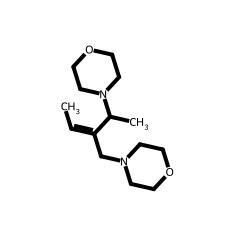 CC=C(CN1CCOCC1)C(C)N1CCOCC1